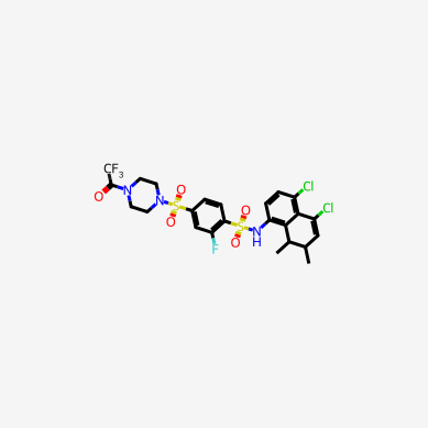 CC1C=C(Cl)c2c(Cl)ccc(NS(=O)(=O)c3ccc(S(=O)(=O)N4CCN(C(=O)C(F)(F)F)CC4)cc3F)c2C1C